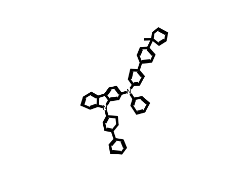 CC1(c2ccc(-c3ccc(N(c4ccccc4)c4ccc5c6ccccc6n(C6=CC=C(c7ccccc7)CC6)c5c4)cc3)cc2)C=CC=CC1